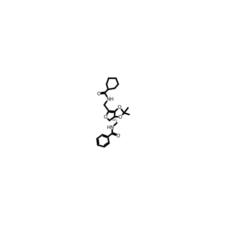 CC1(C)OC2=C(CNC(=O)C3CCCCC3)OC[C@]2(CNC(=O)c2ccccc2)O1